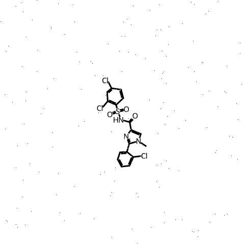 Cn1cc(C(=O)NS(=O)(=O)c2ccc(Cl)cc2Cl)nc1-c1ccccc1Cl